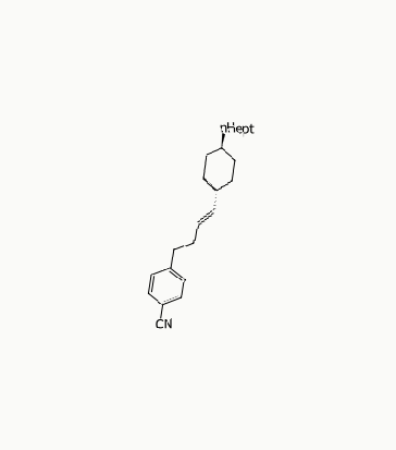 CCCCCCC[C@H]1CC[C@H](C=CCCc2ccc(C#N)cc2)CC1